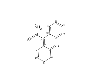 NC(=O)c1c2c(cc3ccccc13)CCC=C2